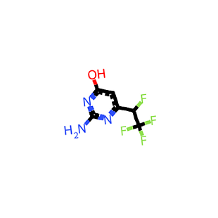 Nc1nc(O)cc(C(F)C(F)(F)F)n1